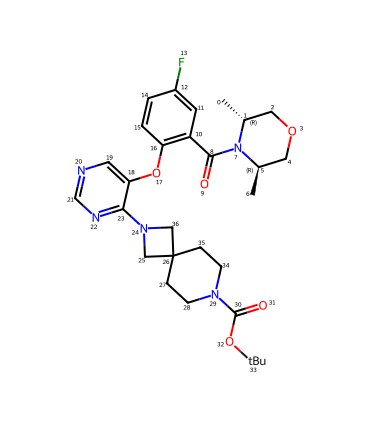 C[C@@H]1COC[C@@H](C)N1C(=O)c1cc(F)ccc1Oc1cncnc1N1CC2(CCN(C(=O)OC(C)(C)C)CC2)C1